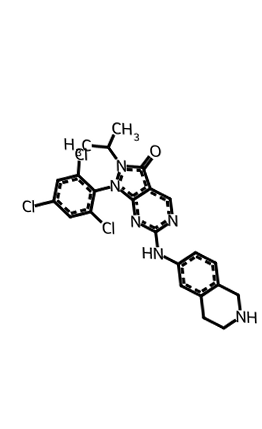 CC(C)n1c(=O)c2cnc(Nc3ccc4c(c3)CCNC4)nc2n1-c1c(Cl)cc(Cl)cc1Cl